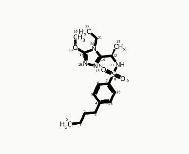 CCCCc1ccc(S(=O)(=O)N[C@H](C)c2nnc(OC)n2CC)cc1